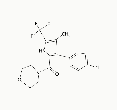 Cc1c(C(F)(F)F)[nH]c(C(=O)N2CCOCC2)c1-c1ccc(Cl)cc1